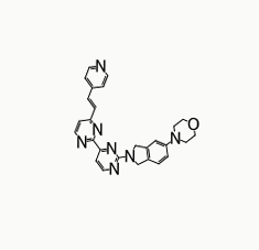 C(=C\c1ccnc(-c2ccnc(N3Cc4ccc(N5CCOCC5)cc4C3)n2)n1)/c1ccncc1